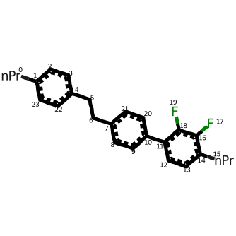 CCCc1ccc(CCc2ccc(-c3ccc(CCC)c(F)c3F)cc2)cc1